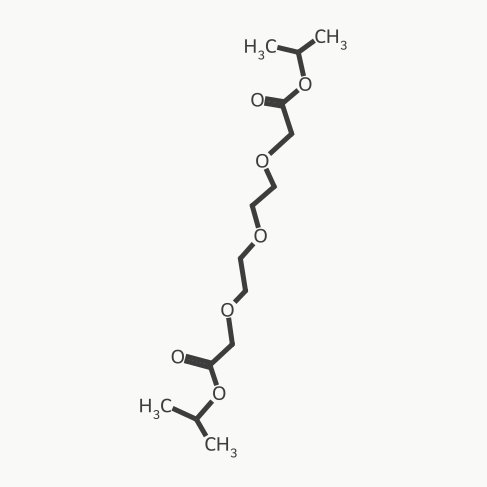 CC(C)OC(=O)COCCOCCOCC(=O)OC(C)C